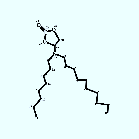 CCCCCCCCCCN(CCCCCCCC)C1CO[P](=O)O1